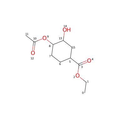 CCOC(=O)C1CCC(OC(C)=O)C(O)C1